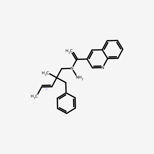 C=C(c1cnc2ccccc2c1)N(N)CC(C)(/C=C/C)Cc1ccccc1